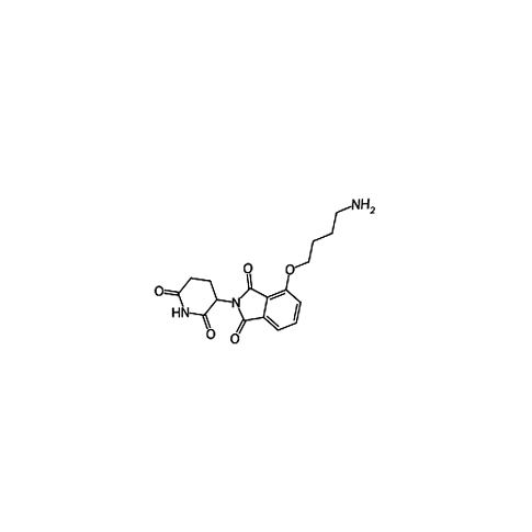 NCCCCOc1cccc2c1C(=O)N(C1CCC(=O)NC1=O)C2=O